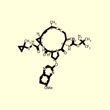 COc1ccc2ncc(O[C@@H]3C[C@H]4C(=O)N[C@]5(C(=O)NSC6(C)CC6)C[C@H]5/C=C\[C@H](C)CCC[C@@H](C)[C@H](NC(=O)OC(C)(C)C(F)(F)F)C(=O)N4C3)nc2c1